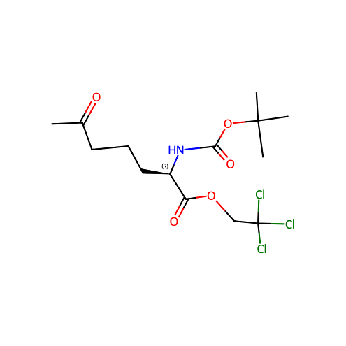 CC(=O)CCC[C@@H](NC(=O)OC(C)(C)C)C(=O)OCC(Cl)(Cl)Cl